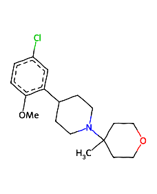 COc1ccc(Cl)cc1C1CCN(C2(C)CCOCC2)CC1